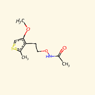 COc1csc(C)c1CCONC(C)=O